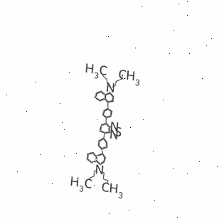 CCCCN(CCCC)c1ccc(-c2ccc(-c3ccc(-c4ccc(-c5ccc(N(CCCC)CCCC)c6ccccc56)cc4)c4nsnc34)cc2)c2ccccc12